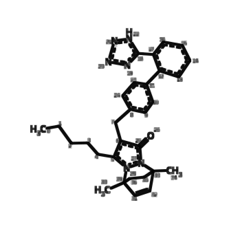 CCCCCc1c(Cc2ccc(-c3ccccc3-c3nnn[nH]3)cc2)c(=O)n2n1C1(C)C=CC2(C)CC1